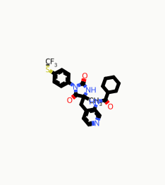 CC1(Cc2ccncc2NC(=O)C2CCCCC2)NC(=O)N(c2ccc(SC(F)(F)F)cc2)C1=O